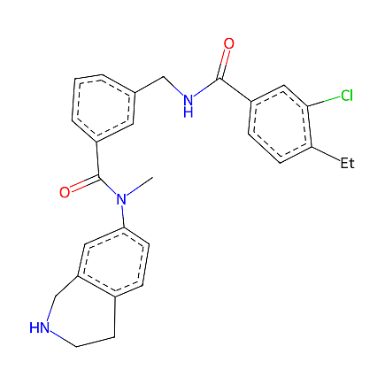 CCc1ccc(C(=O)NCc2cccc(C(=O)N(C)c3ccc4c(c3)CNCC4)c2)cc1Cl